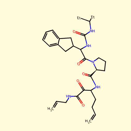 C=CCCC(NC(=O)[C@@H]1CCCN1C(=O)C(NC(=O)NC(CC)CC)C1Cc2ccccc2C1)C(=O)C(=O)NCC=C